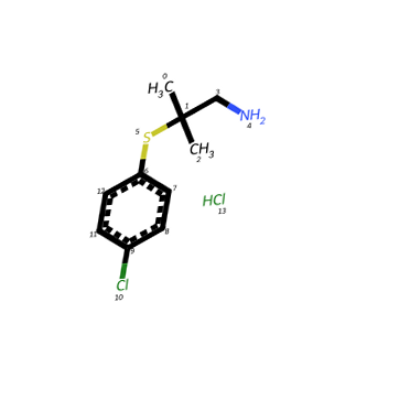 CC(C)(CN)Sc1ccc(Cl)cc1.Cl